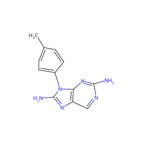 Cc1ccc(-n2c(N)nc3cnc(N)nc32)cc1